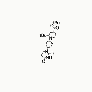 CC(C)(C)OC(=O)C1CCN(c2ccc(N3CCC(=O)NC3=O)cc2)C(C(C)(C)C)C1